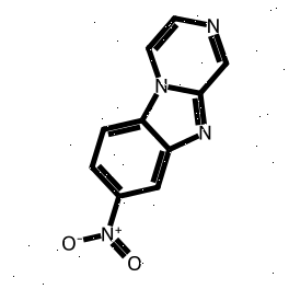 O=[N+]([O-])c1ccc2c(c1)nc1cnccn12